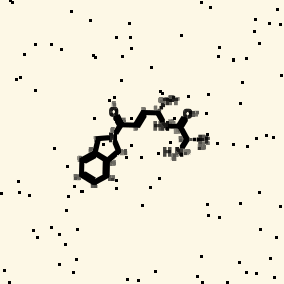 CCC[C@@H](/C=C/C(=O)N1Cc2ccccc2C1)NC(=O)[C@@H](N)CC